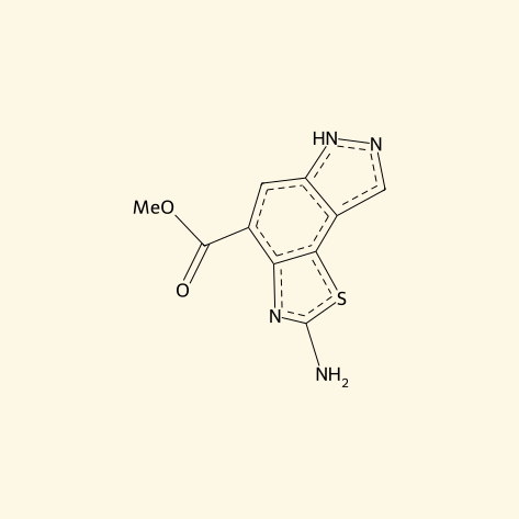 COC(=O)c1cc2[nH]ncc2c2sc(N)nc12